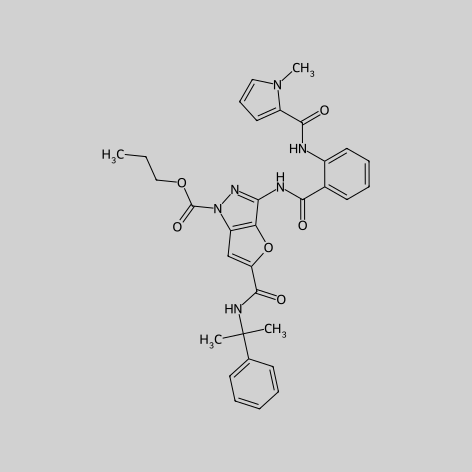 CCCOC(=O)n1nc(NC(=O)c2ccccc2NC(=O)c2cccn2C)c2oc(C(=O)NC(C)(C)c3ccccc3)cc21